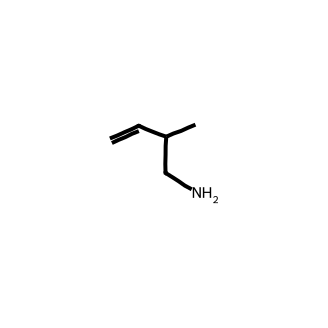 C=CC(C)CN